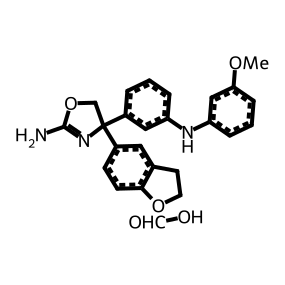 COc1cccc(Nc2cccc(C3(c4ccc5c(c4)CCO5)COC(N)=N3)c2)c1.O=CO